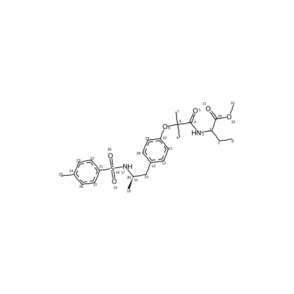 CCC(NC(=O)C(C)(C)Oc1ccc(C[C@@H](C)NS(=O)(=O)c2ccc(C)cc2)cc1)C(=O)OC